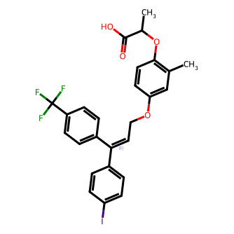 Cc1cc(OC/C=C(/c2ccc(I)cc2)c2ccc(C(F)(F)F)cc2)ccc1OC(C)C(=O)O